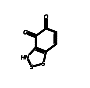 O=c1ccc2ss[nH]c=2c1=O